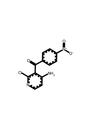 Nc1ccnc(Cl)c1C(=O)c1ccc([N+](=O)[O-])cc1